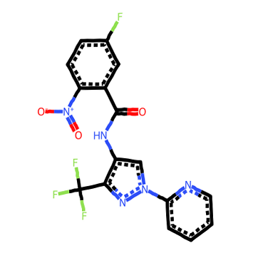 O=C(Nc1cn(-c2ccccn2)nc1C(F)(F)F)c1cc(F)ccc1[N+](=O)[O-]